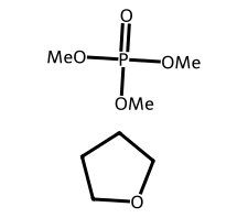 C1CCOC1.COP(=O)(OC)OC